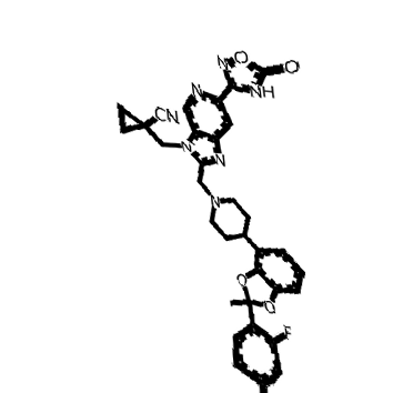 CC1(c2ccc(Cl)cc2F)Oc2cccc(C3CCN(Cc4nc5cc(-c6noc(=O)[nH]6)ncc5n4CC4(C#N)CC4)CC3)c2O1